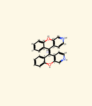 c1ccc2c(c1)Oc1cnccc1/C2=C1/c2ccccc2Oc2cnccc21